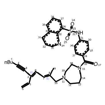 C=C/C(C#CCCCC)=C\C=C(/C)CN1CCCN(C(=O)c2ccc(NS(=O)(=O)c3cccc4cccnc34)cc2)CC1